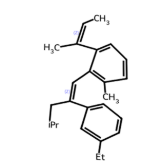 C/C=C(/C)c1cccc(C)c1/C=C(/CC(C)C)c1cccc(CC)c1